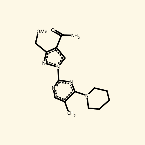 COCc1nn(-c2ncc(C)c(N3CCCCC3)n2)cc1C(N)=O